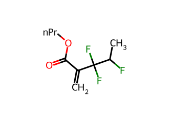 C=C(C(=O)OCCC)C(F)(F)C(C)F